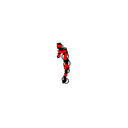 C=CC(=O)OCCCCCCOc1ccc(OC(=O)[C@H]2CC[C@H](C(=O)Oc3ccc(OC)c(/C=N/N(CCCCCC)c4nc5ccccc5s4)c3)CC2)cc1